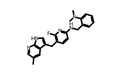 Cc1cnc2[nH]cc(Cc3ccc(NCc4ccccc4N(C)C)nc3F)c2c1